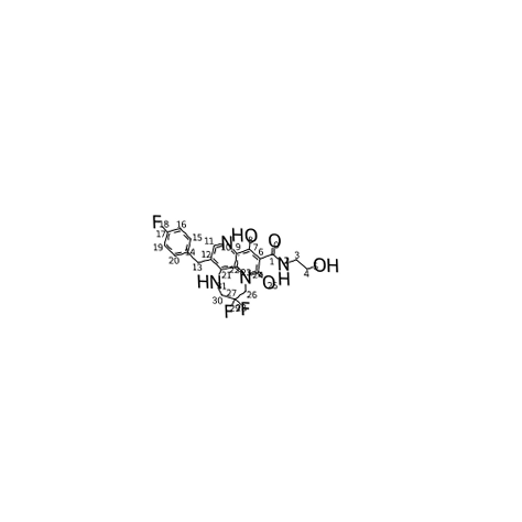 O=C(NCCO)c1c(O)c2ncc(Cc3ccc(F)cc3)c3c2n(c1=O)CC(F)(F)CN3